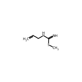 C=CCNC(=N)SC